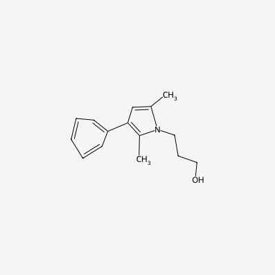 Cc1cc(-c2ccccc2)c(C)n1CCCO